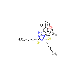 CCCCCCCC(S)c1nc(Nc2cc(C(C)(C)C)c(O)c(C(C)(C)C)c2)nc(C(S)CCCCCCC)n1